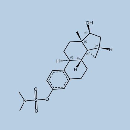 CN(C)S(=O)(=O)Oc1ccc2c(c1)CC[C@@H]1[C@@H]2CC[C@]2(C)[C@@H](O)C[C@@H]3C[C@]312